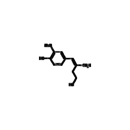 COc1cc(C=C(CCO)C(=O)O)ccc1O